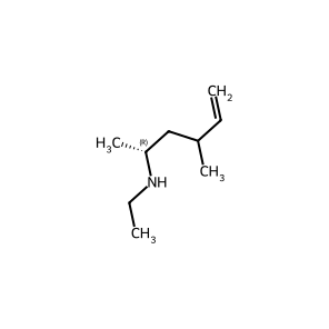 C=CC(C)C[C@@H](C)NCC